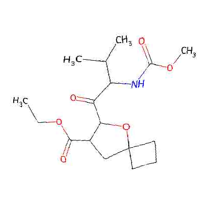 CCOC(=O)C1CC2(CCC2)OC1C(=O)C(NC(=O)OC)C(C)C